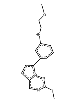 COCCNc1cccc(-c2ccc3cnc(SC)nn23)c1